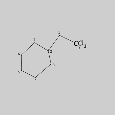 ClC(Cl)(Cl)C[C]1CCCCC1